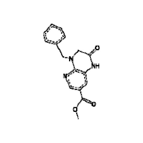 COC(=O)c1cnc2c(c1)NC(=O)CN2Cc1ccccc1